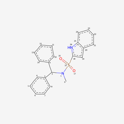 CN(C(c1ccccc1)c1ccccc1)S(=O)(=O)c1cc2ccccc2[nH]1